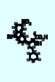 CC(=O)O.CCn1c2ccc(C(CCC3CCCCC3)=NO)cc2c2cc([N+](=O)[O-])ccc21